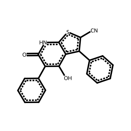 N#Cc1sc2[nH]c(=O)c(-c3ccccc3)c(O)c2c1-c1ccccc1